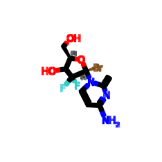 C=C1N=C(N)C=CN1[C@]1(Br)O[C@H](CO)C(O)C1(F)F